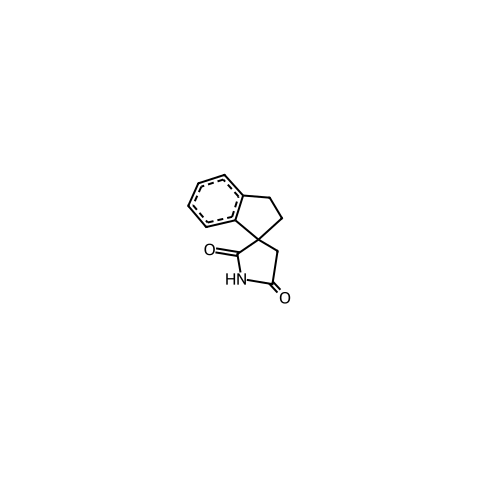 O=C1CC2(CCc3ccccc32)C(=O)N1